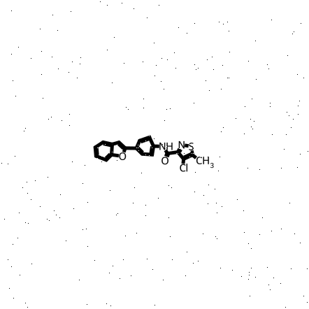 Cc1snc(C(=O)Nc2ccc(-c3cc4ccccc4o3)cc2)c1Cl